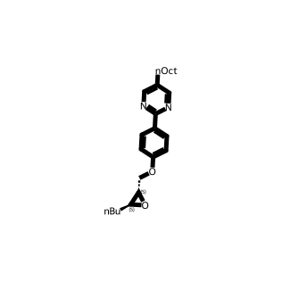 CCCCCCCCc1cnc(-c2ccc(OC[C@@H]3O[C@H]3CCCC)cc2)nc1